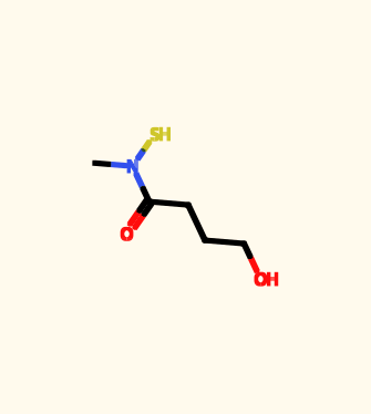 CN(S)C(=O)CCCO